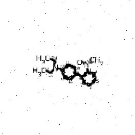 C=[N+]([O-])c1ccccc1-c1ccc(N(CC)CC)cc1